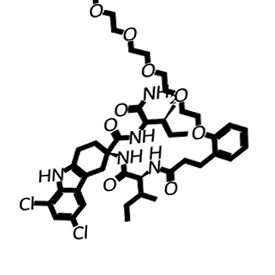 CCC(C)[C@H](NC(=O)CCc1ccccc1OCCOCCOCCOCCOC)C(=O)N[C@]1(C(=O)NC(C(N)=O)[C@@H](C)CC)CCc2[nH]c3c(Cl)cc(Cl)cc3c2C1